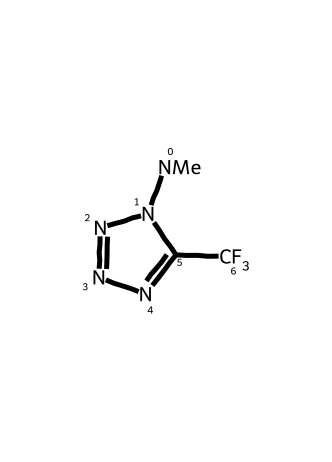 CNn1nnnc1C(F)(F)F